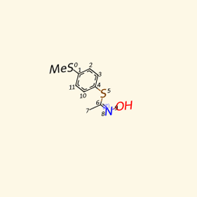 CSc1ccc(S/C(C)=N\O)cc1